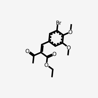 CCOC(=O)/C(=C\c1cc(Br)c(OC)c(OC)c1)C(C)=O